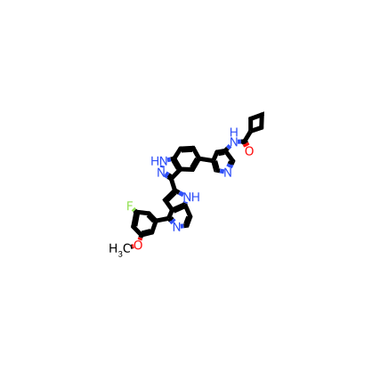 COc1cc(F)cc(-c2nccc3[nH]c(-c4n[nH]c5ccc(-c6cncc(NC(=O)C7CCC7)c6)cc45)cc23)c1